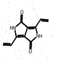 C=CC1=C2C(=O)NC(C=C)=C2C(=O)N1